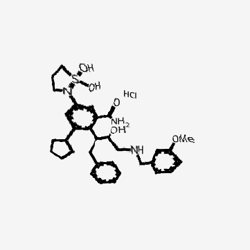 COc1cccc(CNC[C@H](O)[C@@H](Cc2ccccc2)c2c(C(N)=O)cc(N3CCCS3(O)O)cc2C2CCCC2)c1.Cl